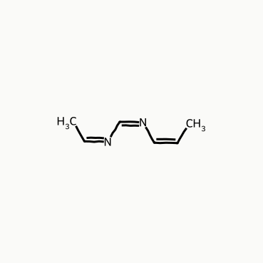 C\C=C/N=C\N=C/C